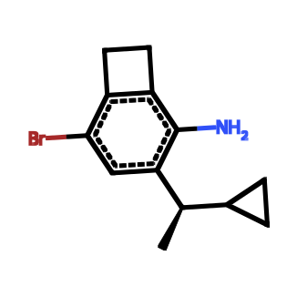 C[C@@H](c1cc(Br)c2c(c1N)CC2)C1CC1